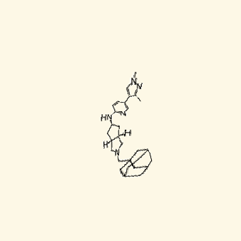 Cc1nn(C)cc1-c1ccc(N[C@H]2C[C@@H]3CN(CC45CC6CC(CC(C6)C4)C5)C[C@@H]3C2)nc1